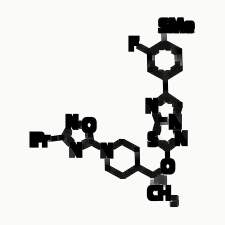 CSc1ccc(-c2cn3nc(O[C@H](C)C4CCN(c5nc(C(C)C)no5)CC4)sc3n2)cc1F